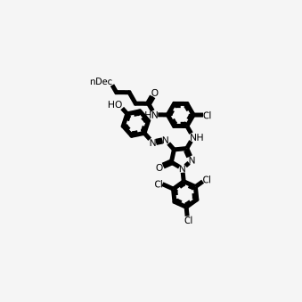 CCCCCCCCCCCCCC(=O)Nc1ccc(Cl)c(NC2=NN(c3c(Cl)cc(Cl)cc3Cl)C(=O)C2/N=N/c2ccc(O)cc2)c1